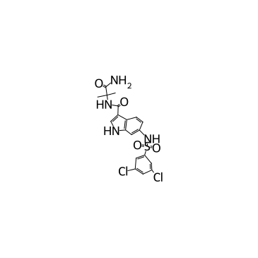 CC(C)(NC(=O)c1c[nH]c2cc(NS(=O)(=O)c3cc(Cl)cc(Cl)c3)ccc12)C(N)=O